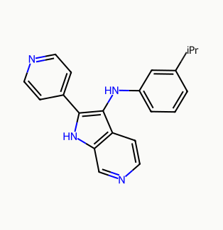 CC(C)c1cccc(Nc2c(-c3ccncc3)[nH]c3cnccc23)c1